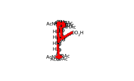 CC(=O)NC1C(OCCCCC(=O)NCCCCC(=O)NCCN(CCNC(=O)CCCCNC(=O)CCCCOC2OC(COC(C)=O)C(OC(C)=O)C(OC(C)=O)C2NC(C)=O)C(=O)CC[C@H](NC(=O)CCCCNC(=O)CCCCOC2OC(COC(C)=O)C(OC(C)=O)C(OC(C)=O)C2NC(C)=O)C(=O)NCCCCCCCCCCC(=O)O)OC(COC(C)=O)C(OC(C)=O)C1OC(C)=O